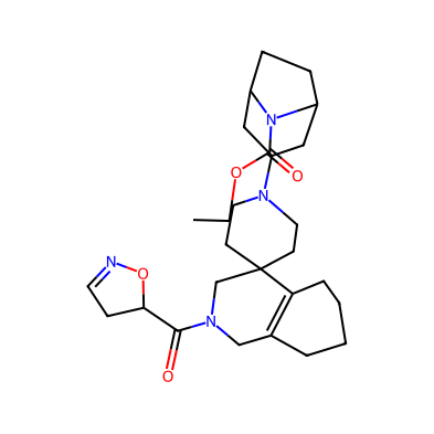 CCOC(=O)N1C2CCC1CC(N1CCC3(CC1)CN(C(=O)C1CC=NO1)CC1=C3CCCC1)C2